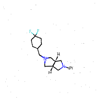 CC(C)N1C[C@H]2CN(CC3CCC(F)(F)CC3)C[C@H]2C1